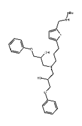 CCCCNCc1ccc(CCCN(CC(O)COc2ccccc2)CC(O)COc2ccccc2)s1